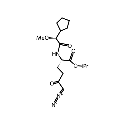 CO[C@H](C(=O)N[C@@H](CCC(=O)C=[N+]=[N-])C(=O)OC(C)C)C1CCCC1